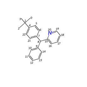 CC(C)(C)c1ccc(C(c2ccccc2)c2ccccn2)cc1